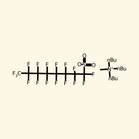 CCCC[N+](C)(CCCC)CCCC.O=S(=O)([O-])C(F)(F)C(F)(F)C(F)(F)C(F)(F)C(F)(F)C(F)(F)C(F)(F)C(F)(F)F